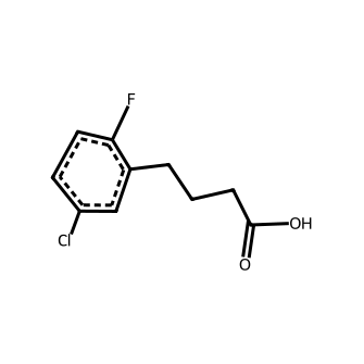 O=C(O)CCCc1cc(Cl)ccc1F